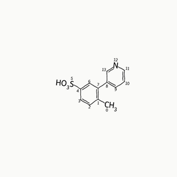 Cc1ccc(S(=O)(=O)O)cc1-c1cccnc1